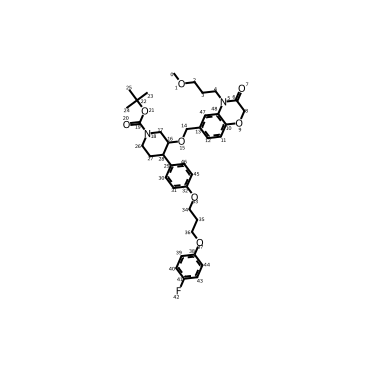 COCCCN1C(=O)COc2ccc(COC3CN(C(=O)OC(C)(C)C)CCC3c3ccc(OCCCOc4ccc(F)cc4)cc3)cc21